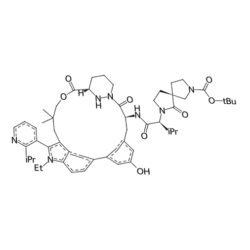 CCn1c(-c2cccnc2C(C)C)c2c3cc(ccc31)-c1cc(O)cc(c1)C[C@H](NC(=O)[C@H](C(C)C)N1CC[C@]3(CCN(C(=O)OC(C)(C)C)C3)C1=O)C(=O)N1CCC[C@H](N1)C(=O)OCC(C)(C)C2